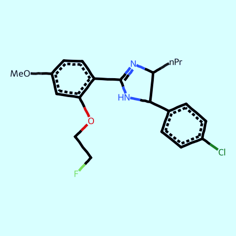 CCCC1N=C(c2ccc(OC)cc2OCCF)NC1c1ccc(Cl)cc1